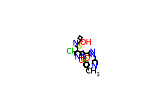 Cc1ccc(S(=O)(=O)n2c(-c3cnn(Cc4ccncc4)c3)cc3c(-c4cnc(C5(O)CCC5)s4)c(Cl)cnc32)cc1